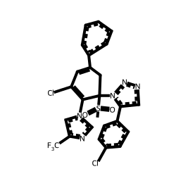 CS(=O)(=O)C1(n2nncc2-c2ccc(Cl)cc2)CC(c2ccccc2)=CC(Cl)=C1n1cnc(C(F)(F)F)c1